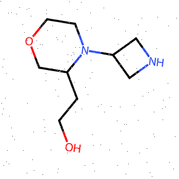 OCCC1COCCN1C1CNC1